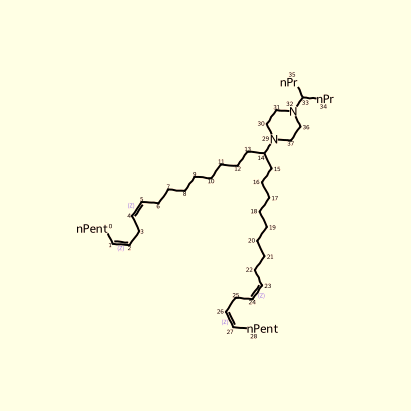 CCCCC/C=C\C/C=C\CCCCCCCCC(CCCCCCCC/C=C\C/C=C\CCCCC)N1CCN(C(CCC)CCC)CC1